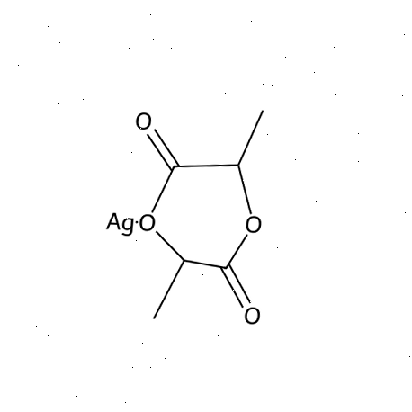 CC1OC(=O)C(C)OC1=O.[Ag]